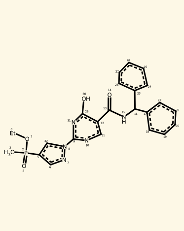 CCOP(C)(=O)c1cnn(-c2ncc(C(=O)NC(c3ccccc3)c3ccccc3)c(O)n2)c1